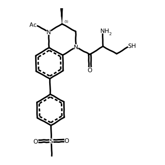 CC(=O)N1c2ccc(-c3ccc(S(C)(=O)=O)cc3)cc2N(C(=O)C(N)CS)C[C@@H]1C